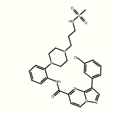 CS(=O)(=O)NCCCN1CCN(c2ccccc2NC(=O)c2ccn3ncc(-c4cccc(Cl)c4)c3n2)CC1